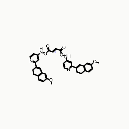 COc1ccc2c(c1)C=C(c1cc(NOC(=O)/C=C/C(=O)ONc3ccnc(C4=Cc5cc(OC)ccc5CC4)c3)ccn1)CC2